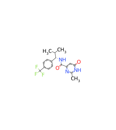 Cc1nc(C(=O)N[C@H](c2ccc(C(F)(F)F)cc2)C(C)C)cc(=O)[nH]1